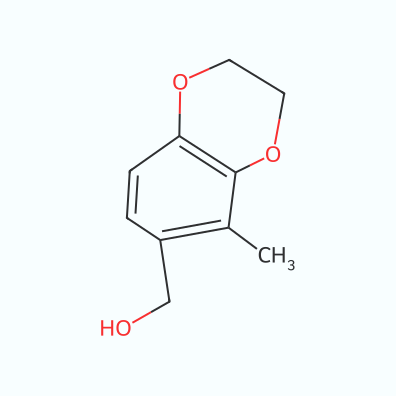 Cc1c(CO)ccc2c1OCCO2